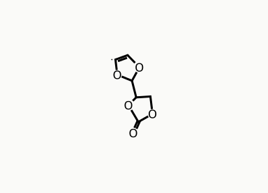 O=C1OCC(C2O[C]=CO2)O1